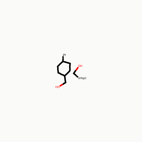 CC(C)C1CCC(CO)CC1.CCCCCCCCO